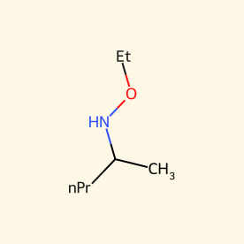 CCCC(C)NOCC